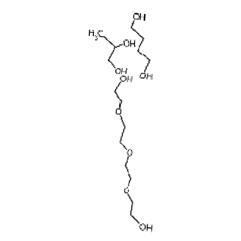 CC(O)CO.OCCCCO.OCCOCCOCCOCCO